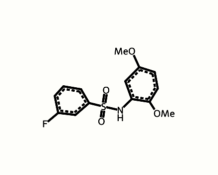 COc1ccc(OC)c(NS(=O)(=O)c2cccc(F)c2)c1